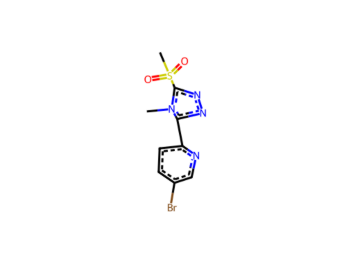 Cn1c(-c2ccc(Br)cn2)nnc1S(C)(=O)=O